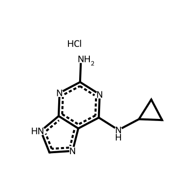 Cl.Nc1nc(NC2CC2)c2nc[nH]c2n1